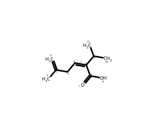 C=C(C)C/C=C(\C(=O)O)C(C)C